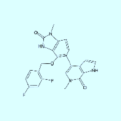 Cn1cc(-c2ccc3c([nH]c(=O)n3C)c2OCc2ccc(F)cc2F)c2cc[nH]c2c1=O